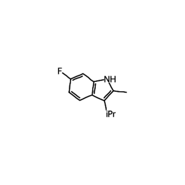 Cc1[nH]c2cc(F)ccc2c1C(C)C